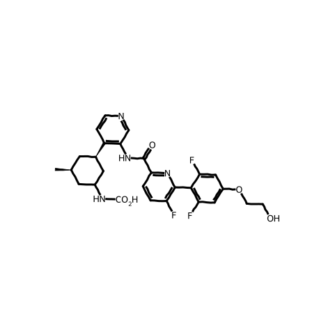 C[C@@H]1CC(NC(=O)O)C[C@H](c2ccncc2NC(=O)c2ccc(F)c(-c3c(F)cc(OCCO)cc3F)n2)C1